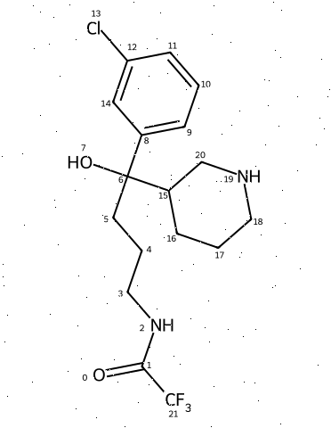 O=C(NCCCC(O)(c1cccc(Cl)c1)C1CCCNC1)C(F)(F)F